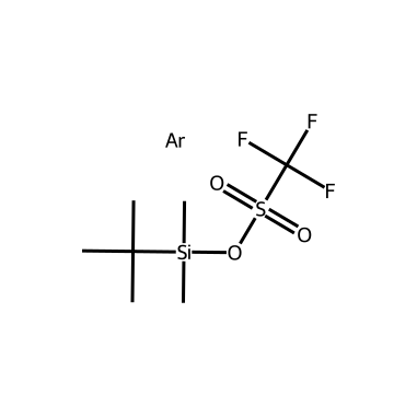 CC(C)(C)[Si](C)(C)OS(=O)(=O)C(F)(F)F.[Ar]